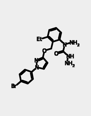 CCc1cccc(N(N)C(=O)NN)c1COc1ccn(-c2ccc(Br)cc2)n1